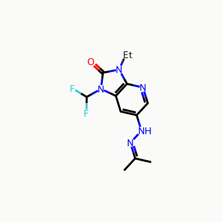 CCn1c(=O)n(C(F)F)c2cc(NN=C(C)C)cnc21